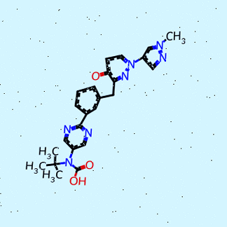 Cn1cc(-n2ccc(=O)c(Cc3cccc(-c4ncc(N(C(=O)O)C(C)(C)C)cn4)c3)n2)cn1